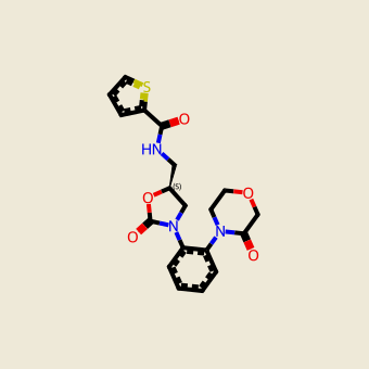 O=C(NC[C@H]1CN(c2ccccc2N2CCOCC2=O)C(=O)O1)c1cccs1